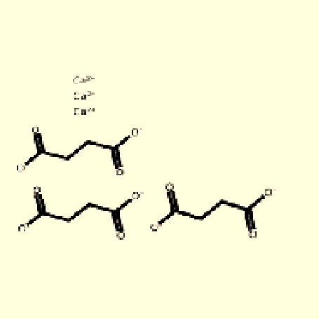 O=C([O-])CCC(=O)[O-].O=C([O-])CCC(=O)[O-].O=C([O-])CCC(=O)[O-].[Ca+2].[Ca+2].[Ca+2]